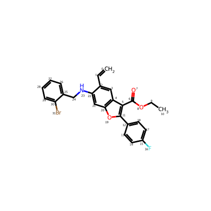 C=Cc1cc2c(C(=O)OCC)c(-c3ccc(F)cc3)oc2cc1NCc1ccccc1Br